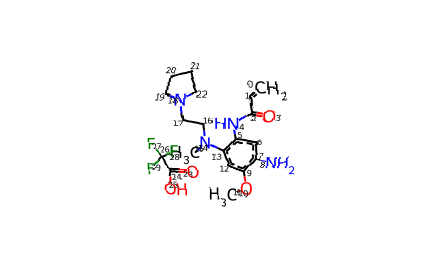 C=CC(=O)Nc1cc(N)c(OC)cc1N(C)CCN1CCCC1.O=C(O)C(F)(F)F